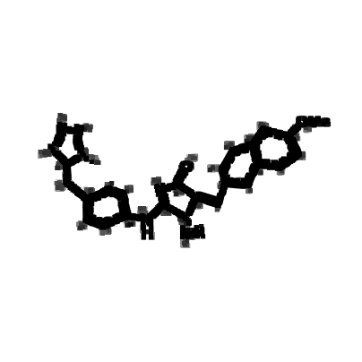 COc1ccc2cc(C=C3SC(Nc4ccc(CC5N=NN=N5)cc4)=NC3=O)ccc2c1.[NaH]